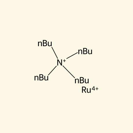 CCCC[N+](CCCC)(CCCC)CCCC.[Ru+4]